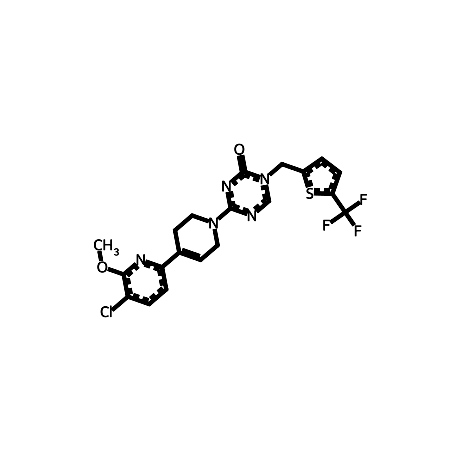 COc1nc(C2=CCN(c3ncn(Cc4ccc(C(F)(F)F)s4)c(=O)n3)CC2)ccc1Cl